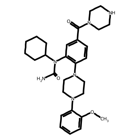 COc1ccccc1N1CCN(c2ccc(C(=O)N3CCNCC3)cc2N(C(N)=O)C2CCCCC2)CC1